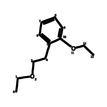 CCO[CH]Cc1ccccc1OCC